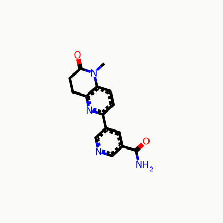 CN1C(=O)CCc2nc(-c3cncc(C(N)=O)c3)ccc21